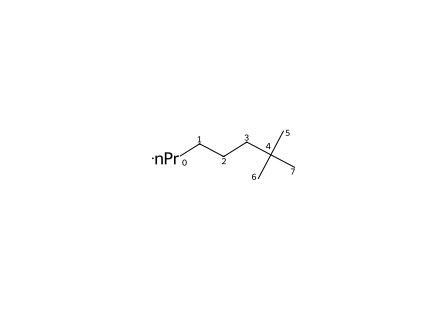 CC[CH]CCCC(C)(C)C